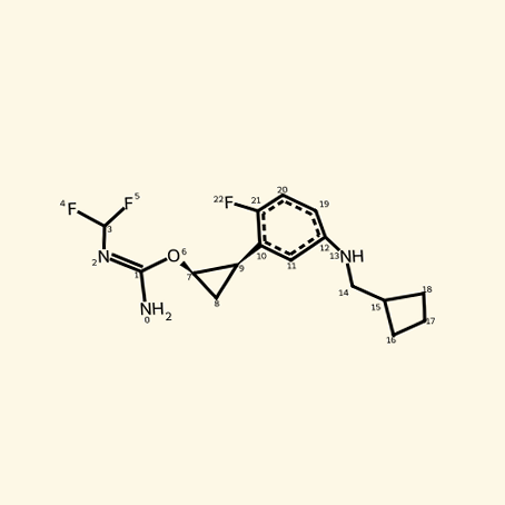 N/C(=N/C(F)F)O[C@@H]1C[C@@H]1c1cc(NCC2CCC2)ccc1F